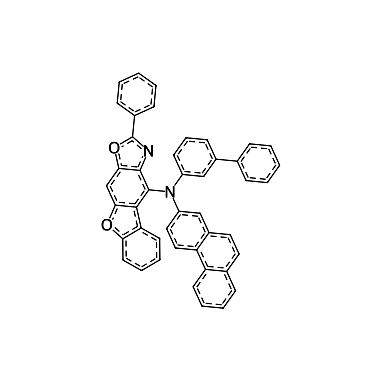 c1ccc(-c2cccc(N(c3ccc4c(ccc5ccccc54)c3)c3c4nc(-c5ccccc5)oc4cc4oc5ccccc5c34)c2)cc1